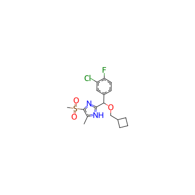 Cc1[nH]c(C(OCC2CCC2)c2ccc(F)c(Cl)c2)nc1S(C)(=O)=O